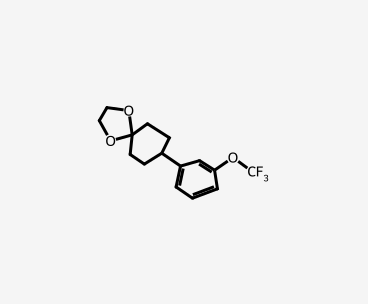 FC(F)(F)Oc1cccc(C2CCC3(CC2)OCCO3)c1